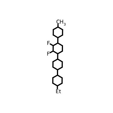 CCC1CCC(C2CCC(C3CCC(C4CCC(C)CC4)C(F)C3F)CC2)CC1